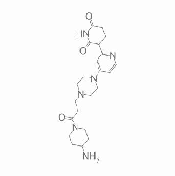 NC1CCN(C(=O)CCN2CCN(c3ccnc(C4CCC(=O)NC4=O)c3)CC2)CC1